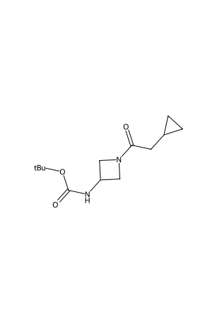 CC(C)(C)OC(=O)NC1CN(C(=O)CC2CC2)C1